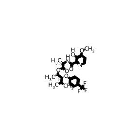 COc1ccnc(C(=O)N[C@@H](C)C(=O)O[C@@H](C)[C@H](Oc2ccc(C(F)(F)F)cc2)C(C)C)c1O